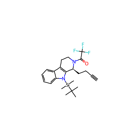 C#CCC[C@H]1c2c(c3ccccc3n2[Si](C)(C)C(C)(C)C)CCN1C(=O)C(F)(F)F